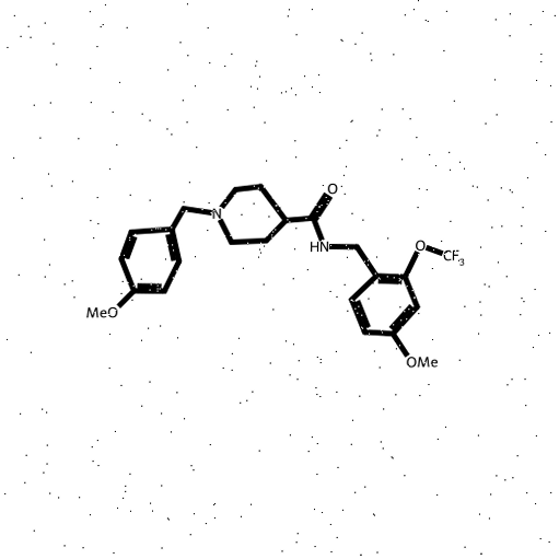 COc1ccc(CN2CCC(C(=O)NCc3ccc(OC)cc3OC(F)(F)F)CC2)cc1